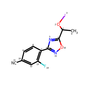 CC(OI)c1nc(-c2ccc(C#N)cc2F)no1